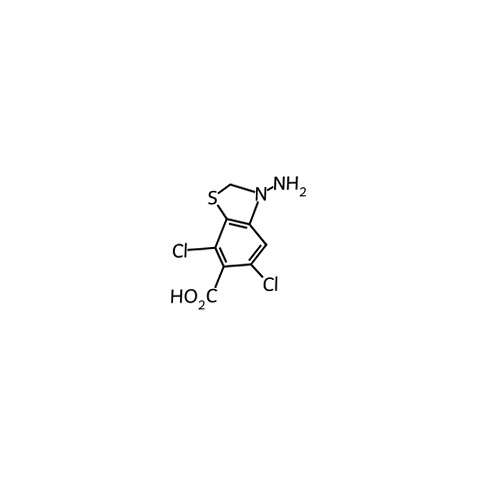 NN1CSc2c1cc(Cl)c(C(=O)O)c2Cl